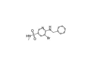 CNS(=O)(=O)c1cnc(NCc2ccccc2)c(Br)c1